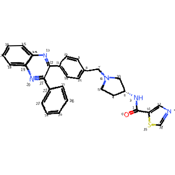 O=C(N[C@@H]1CCN(Cc2ccc(-c3nc4ccccc4nc3-c3ccccc3)cc2)C1)c1cncs1